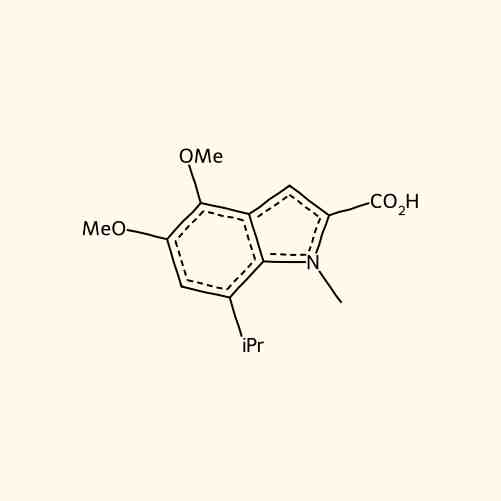 COc1cc(C(C)C)c2c(cc(C(=O)O)n2C)c1OC